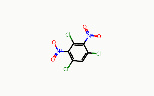 O=[N+]([O-])c1c(Cl)cc(Cl)c([N+](=O)[O-])c1Cl